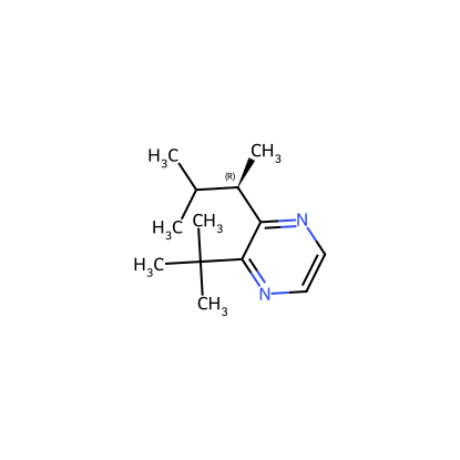 CC(C)[C@@H](C)c1nccnc1C(C)(C)C